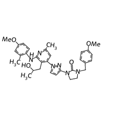 COc1ccc(CN2CCN(c3ccn(-c4cc(C)nc(Nc5ccc(OC)cc5C)c4CC(C)O)n3)C2=O)cc1